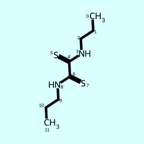 CCCNC(=S)C(=S)NCCC